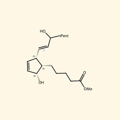 CCCCCC(O)/C=C/[C@H]1C=C[C@@H](O)[C@H]1CCCCC(=O)OC